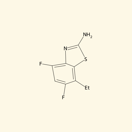 CCc1c(F)cc(F)c2nc(N)sc12